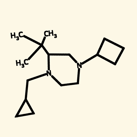 CC(C)(C)C1CN(C2CCC2)CCN1CC1CC1